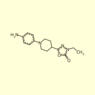 CCn1nc(C2CCN(c3ccc(N)cc3)CC2)oc1=O